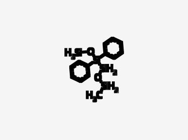 C[SiH2]O[SiH2][Si](O[SiH3])(c1ccccc1)c1ccccc1